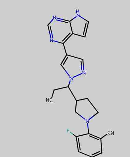 N#CCC(C1CCN(c2c(F)cccc2C#N)C1)n1cc(-c2ncnc3[nH]ccc23)cn1